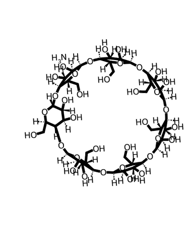 N.OC[C@H]1O[C@@H]2O[C@H]3[C@H](O)[C@@H](O)[C@@H](O[C@H]4[C@H](O)[C@@H](O)[C@@H](O[C@H]5[C@H](O)[C@@H](O)[C@@H](O[C@H]6[C@H](O)[C@@H](O)[C@@H](O[C@H]7[C@H](O)[C@@H](O)[C@@H](O[C@H]8[C@H](O)[C@@H](O)[C@@H](O[C@H]1[C@H](O)[C@H]2O)O[C@@H]8CO)O[C@@H]7CO)O[C@@H]6CO)O[C@@H]5CO)O[C@@H]4CO)O[C@@H]3CO